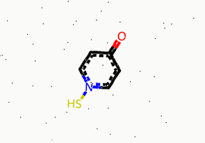 O=c1ccn(S)cc1